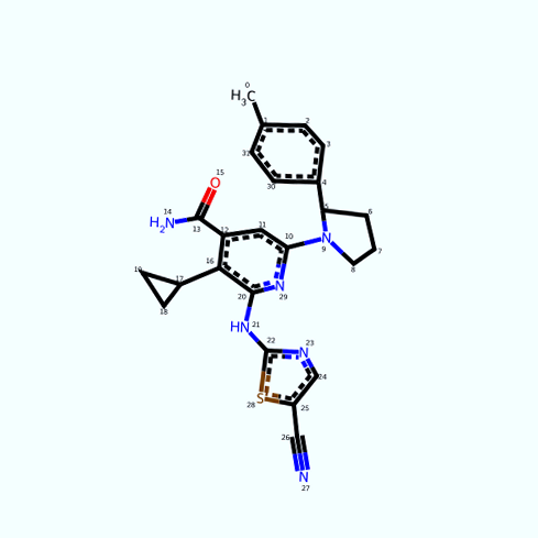 Cc1ccc(C2CCCN2c2cc(C(N)=O)c(C3CC3)c(Nc3ncc(C#N)s3)n2)cc1